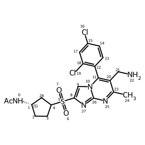 CC(=O)N[C@H]1CCC(S(=O)(=O)c2cn3c(-c4ccc(Cl)cc4Cl)c(CN)c(C)nc3n2)C1